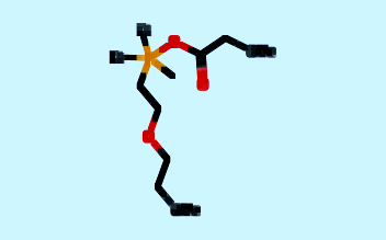 CCP(C)(CC)(CCOCCOC)OC(=O)COC